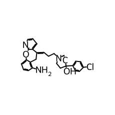 Nc1cccc2c1CC(=CCCN1CCC(O)(c3ccc(Cl)cc3)CC1)c1cccnc1O2